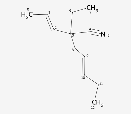 CC=CC(C#N)(CC)CC=CCC